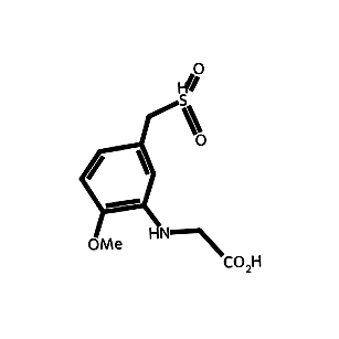 COc1ccc(C[SH](=O)=O)cc1NCC(=O)O